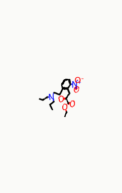 CCCN(CCC)CCc1cccc([N+](=O)[O-])c1CC(=O)C(=O)OCC